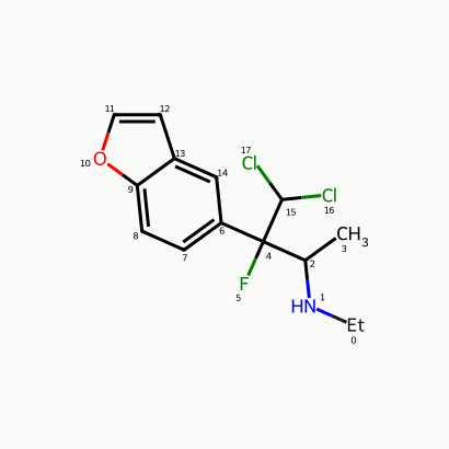 CCNC(C)C(F)(c1ccc2occc2c1)C(Cl)Cl